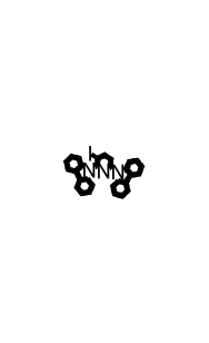 Ic1ccc(-n2c3ccccc3c3ccccc32)nc1-n1c2ccccc2c2ccccc21